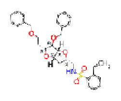 C=Cc1ccccc1S(=O)(=O)NC[C@@H]1C[C@@H]2O[C@H](CCOCc3ccccc3)[C@@H](OCc3ccccc3)[C@@H]2O1